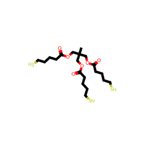 CC(COC(=O)CCCCS)(COC(=O)CCCCS)COC(=O)CCCCS